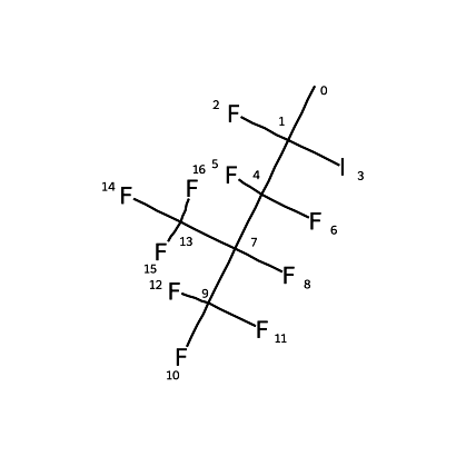 CC(F)(I)C(F)(F)C(F)(C(F)(F)F)C(F)(F)F